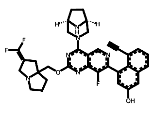 C#Cc1cccc2cc(O)cc(-c3ncc4c(N5C[C@H]6CC[C@@H](C5)N6)nc(OCC56CCCN5CC(=C(F)F)C6)nc4c3F)c12